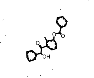 Cc1c(OC(=O)c2ccccc2)cccc1C(=O)C(O)c1ccccc1